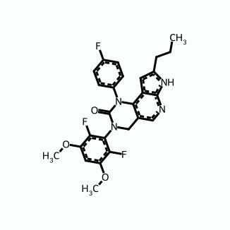 CCCc1cc2c3c(cnc2[nH]1)CN(c1c(F)c(OC)cc(OC)c1F)C(=O)N3c1ccc(F)cc1